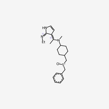 CC/N=C1/NC=C/C1=C(/C)N(C)C1CCC(C[S+]([O-])Cc2ccccc2)CC1